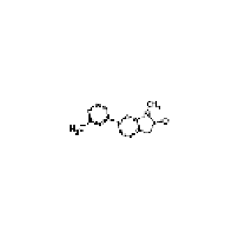 Cc1cccc(-c2ccc3c(c2)N(C)C(=O)C3)c1